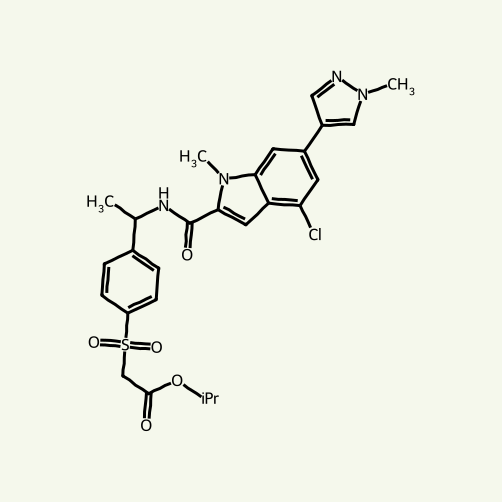 CC(C)OC(=O)CS(=O)(=O)c1ccc(C(C)NC(=O)c2cc3c(Cl)cc(-c4cnn(C)c4)cc3n2C)cc1